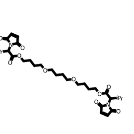 CC(C)C(C(=O)OCCCCOCCCCOCCCCOC(=O)C(C(C)C)N1C(=O)C=CC1=O)N1C(=O)C=CC1=O